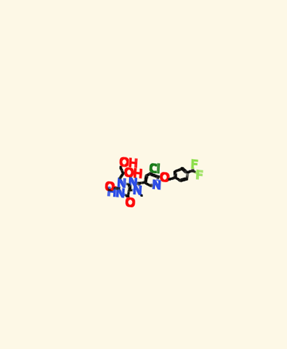 Cn1c(-c2cnc(OCc3ccc(C(F)F)cc3)c(Cl)c2)nc2c1c(=O)[nH]c(=O)n2CC(O)CO